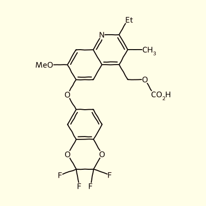 CCc1nc2cc(OC)c(Oc3ccc4c(c3)OC(F)(F)C(F)(F)O4)cc2c(COC(=O)O)c1C